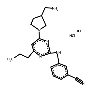 CCCc1cc(N2CCC(CN)C2)nc(Nc2cccc(C#N)c2)n1.Cl.Cl